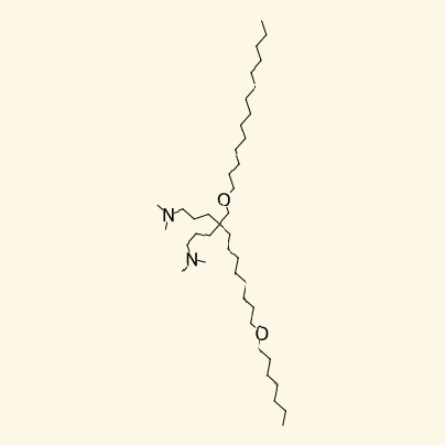 CCCCCCCCCCCCCCOCC(CCCCCCCCOCCCCCCC)(CCCN(C)C)CCCN(C)C